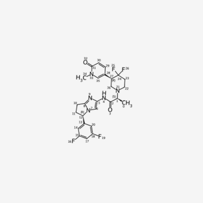 C[C@@H](C(=O)Nc1cn2c(n1)CC[C@@H]2c1cc(F)cc(F)c1)N1CCC(F)(F)[C@H](c2ccc(=O)n(C)c2)C1